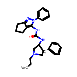 COCCN1CC(NC(=O)Nc2c3c(nn2-c2ccccc2)CCC3)[C@H](c2ccccc2)C1